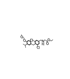 CCOC(=O)CNCc1cc(Cl)c(Cc2ccc(OCOC)c(C(C)C)c2)c(Cl)c1